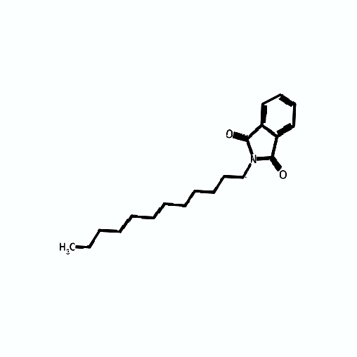 CCCCCCCCCCC[CH]N1C(=O)c2ccccc2C1=O